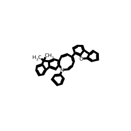 CC1(C)c2ccccc2-c2cc3c(ccc(-c4cccc5c4oc4ccccc45)cccn3-c3ccccc3)cc21